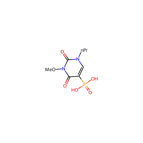 CCCn1cc(P(=O)(O)O)c(=O)n(OC)c1=O